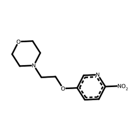 O=[N+]([O-])c1ccc(OCCN2CCOCC2)cn1